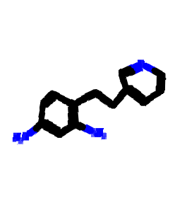 Nc1ccc(CCc2cccnc2)c(N)c1